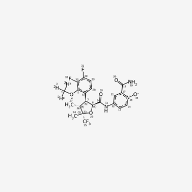 [2H]C([2H])([2H])Oc1c([C@H]2[C@@H](C(=O)Nc3cc[n+]([O-])c(C(N)=O)c3)O[C@](C)(C(F)(F)F)[C@@H]2C)ccc(F)c1F